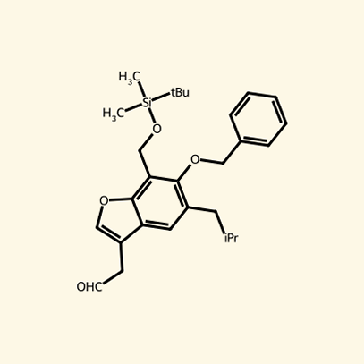 CC(C)Cc1cc2c(CC=O)coc2c(CO[Si](C)(C)C(C)(C)C)c1OCc1ccccc1